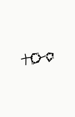 CC(C)(C)c1cnc(-n2ccnc2)cn1